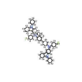 CC1(N(c2ccc(F)cc2)c2ccc(C3C=CC(N(c4ccc(F)cc4)c4ccc5c(c4)c4ccccc4n5-c4ccccc4)=CC3)cc2)C=C2C(=CC1)N(c1ccccc1)C1C=CC=CC21